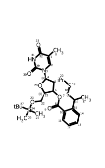 Cc1cn([C@H]2CC(OC(=O)c3ccccc3C(C)SSC(C)C)[C@@H](CO[Si](C)(C)C(C)(C)C)O2)c(=O)[nH]c1=O